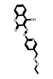 CCOOCc1ccc(N=Nc2c(O)c3ccccc3oc2=O)nc1